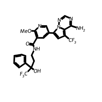 COc1ncc(-c2cc(C(F)(F)F)c3c(N)ncnn23)cc1C(=O)NCCC(O)(c1ccccc1)C(F)(F)F